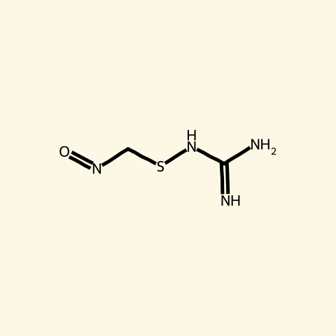 N=C(N)NSCN=O